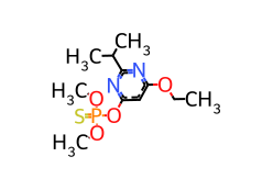 CCOc1cc(OP(=S)(OC)OC)nc(C(C)C)n1